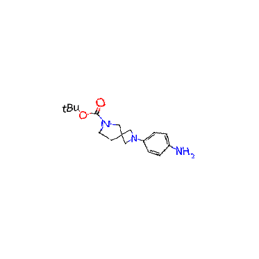 CC(C)(C)OC(=O)N1CCC2(C1)CN(c1ccc(N)cc1)C2